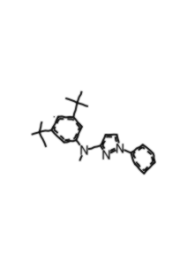 CN(c1cc(C(C)(C)C)[c]c(C(C)(C)C)c1)c1ccn(-c2ccccc2)n1